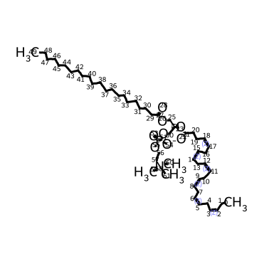 CC/C=C\C/C=C\C/C=C\C/C=C\C/C=C\C/C=C\CCC(=O)O[C@H](COC(=O)CCCCCCCCCCCCCCCCCCCCC)COP(=O)([O-])OCC[N+](C)(C)C